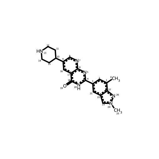 Cc1cc(-c2nc3ncc(C4CCNCC4)cc3c(=O)[nH]2)cc2cn(C)nc12